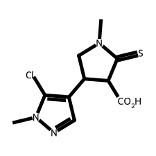 CN1CC(c2cnn(C)c2Cl)C(C(=O)O)C1=S